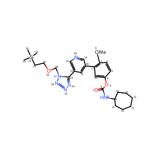 COc1ccc(OC(=O)NC2CCCCCC2)cc1-c1cncc(-c2nnnn2COCC[Si](C)(C)C)c1